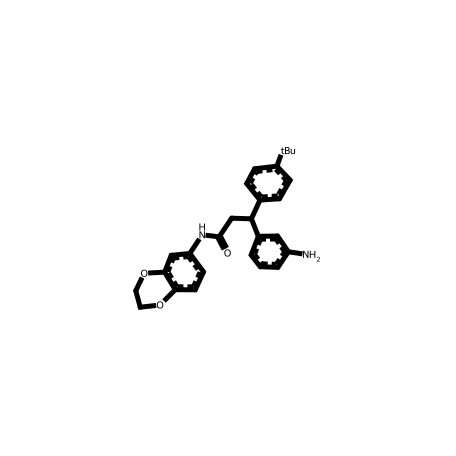 CC(C)(C)c1ccc(C(CC(=O)Nc2ccc3c(c2)OCCO3)c2cccc(N)c2)cc1